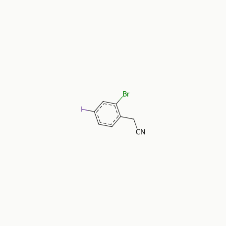 N#CCc1ccc(I)cc1Br